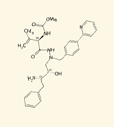 C=C(C)[C@@H](NC(=O)OC)C(=O)NN(Cc1ccc(-c2ccccn2)cc1)C[C@H](O)[C@@H](N)Cc1ccccc1